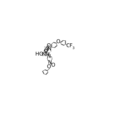 CS(=O)(=O)N(C[C@@H](C(=O)NO)N1CCN(C(=O)OCc2ccccc2)CC1)c1ccc(Oc2ccc(C(F)(F)F)cc2)cc1